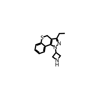 CCc1nn(C2CNC2)c2c1CSc1ccccc1-2